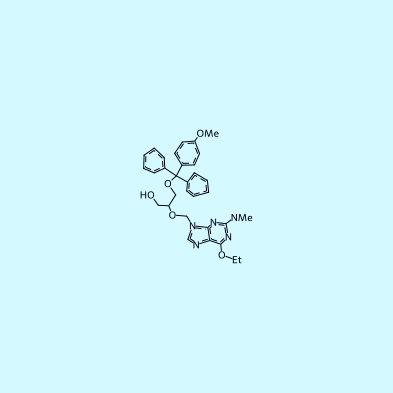 CCOc1nc(NC)nc2c1ncn2COC(CO)COC(c1ccccc1)(c1ccccc1)c1ccc(OC)cc1